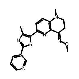 CO/N=C1\CCN(C)c2ccc(-c3sc(-c4cccnc4)nc3C)nc21